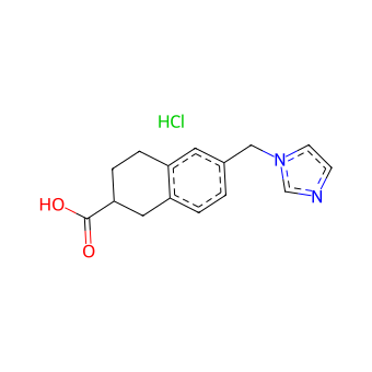 Cl.O=C(O)C1CCc2cc(Cn3ccnc3)ccc2C1